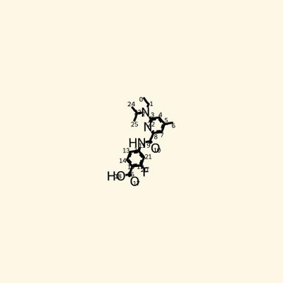 CCN(c1cc(C)cc(C(=O)Nc2ccc(C(=O)O)c(F)c2)n1)C(C)C